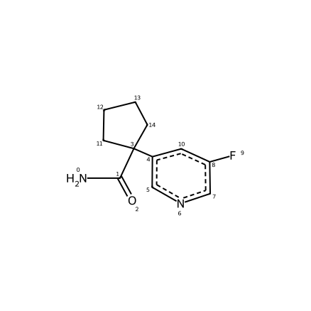 NC(=O)C1(c2cncc(F)c2)CCCC1